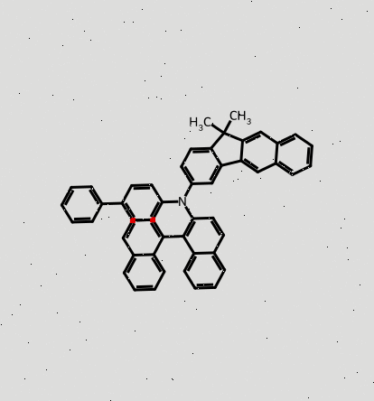 CC1(C)c2ccc(N(c3ccc(-c4ccccc4)cc3)c3ccc4ccccc4c3-c3cccc4ccccc34)cc2-c2cc3ccccc3cc21